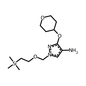 C[Si](C)(C)CCOCn1cc(N)c(OC2CCOCC2)n1